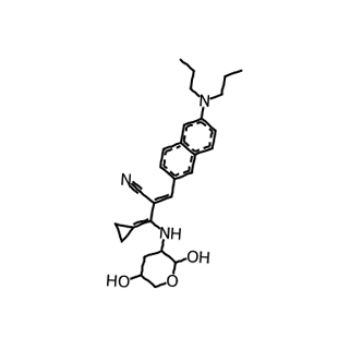 CCCN(CCC)c1ccc2cc(/C=C(\C#N)C(NC3CC(O)COC3O)=C3CC3)ccc2c1